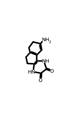 NC1=CC2=C(CC1)CCc1[nH]c(=O)c(=O)[nH]c12